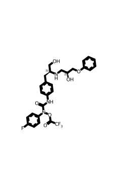 O=C(Nc1ccc(C[C@@H](CO)NC[C@H](O)COc2ccccc2)cc1)N(OC(=O)C(F)(F)F)c1ccc(F)cc1